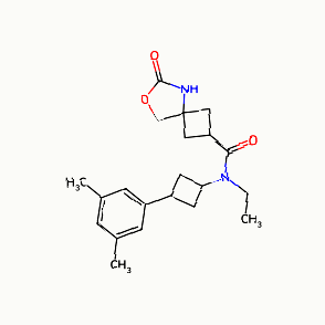 CCN(C(=O)C1CC2(COC(=O)N2)C1)C1CC(c2cc(C)cc(C)c2)C1